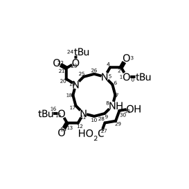 CC(C)(C)OC(=O)CN1CCNCCN(CC(=O)OC(C)(C)C)CCN(CC(=O)OC(C)(C)C)CC1.O=C(O)CCCO